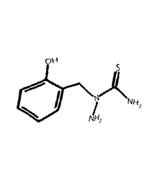 NC(=S)N(N)Cc1ccccc1O